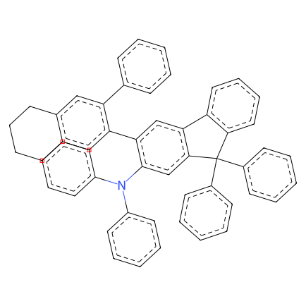 c1ccc(-c2cc3c(cc2-c2cc4c(cc2N(c2ccccc2)c2ccccc2)C(c2ccccc2)(c2ccccc2)c2ccccc2-4)CCCC3)cc1